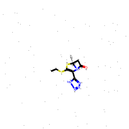 CCSC1=C(c2nnn[nH]2)N2C(=O)C[C@@H]2S1